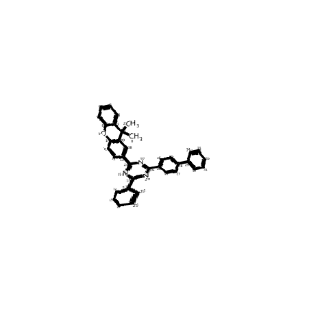 CC1(C)c2ccccc2Oc2ccc(-c3nc(-c4ccccc4)nc(-c4ccc(-c5ccccc5)cc4)n3)cc21